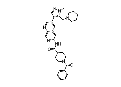 Cn1ncc(-c2cnc3cnc(NC(=O)C4CCN(C(=O)c5ccccc5)CC4)cc3c2)c1CN1CCCCC1